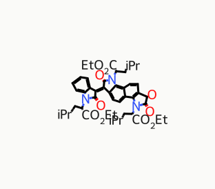 CCOC(=O)C(CC(C)C)N1C(=O)/C(=C2/C(=O)N(C(CC(C)C)C(=O)OCC)c3c2ccc2c4c(ccc32)C(=O)C(=O)N4C(CC(C)C)C(=O)OCC)c2ccccc21